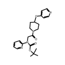 CC(C)(C)OC(=O)N(CC(=O)N1CCC(Oc2ccncc2)CC1)c1ccccn1